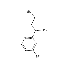 CCCc1ccnc(N(CCC(C)(C)C)C(C)CC)n1